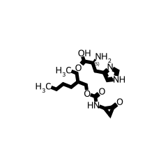 CCCCC(CC)COC(=O)NC1CC1=O.N[C@@H](Cc1c[nH]cn1)C(=O)O